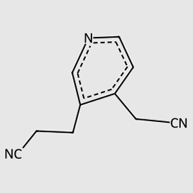 N#CCCc1cnccc1CC#N